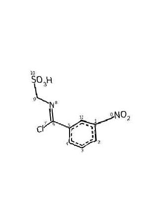 O=[N+]([O-])c1cccc(C(Cl)=NCS(=O)(=O)O)c1